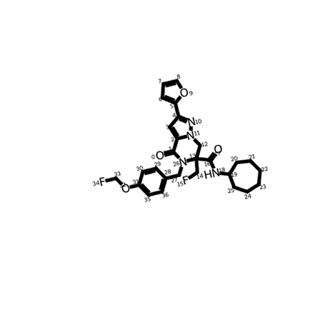 O=C1c2cc(-c3ccco3)nn2CC(CF)(C(=O)NC2CCCCCC2)N1Cc1ccc(OCF)cc1